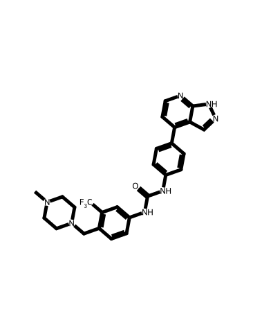 CN1CCN(Cc2ccc(NC(=O)Nc3ccc(-c4ccnc5[nH]ncc45)cc3)cc2C(F)(F)F)CC1